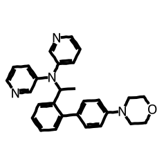 CC(c1ccccc1-c1ccc(N2CCOCC2)cc1)N(c1cccnc1)c1cccnc1